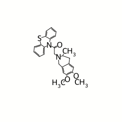 COc1cc2c(cc1OC)CN(CC(=O)N1c3ccccc3Sc3ccccc31)C(C)C2